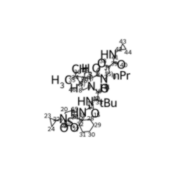 CCC[C@H](NC(=O)[C@@H]1[C@@H]2[C@H](CN1C(=O)[C@@H](NC(=O)NC1([C@@H]3CCN(C4CC4)S3(=O)=O)CCCCC1)C(C)(C)C)C2(C)C)C(=O)C(=O)NC1CC1